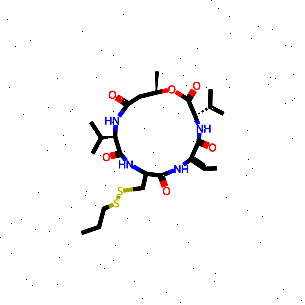 C/C=C1/NC(=O)C(CSSCCC)NC(=O)[C@@H](C(C)C)NC(=O)C[C@@H](C)OC(=O)[C@H](C(C)C)NC1=O